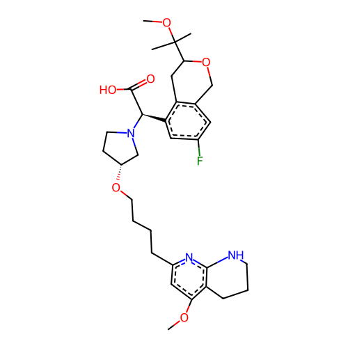 COc1cc(CCCCO[C@@H]2CCN([C@@H](C(=O)O)c3cc(F)cc4c3CC(C(C)(C)OC)OC4)C2)nc2c1CCCN2